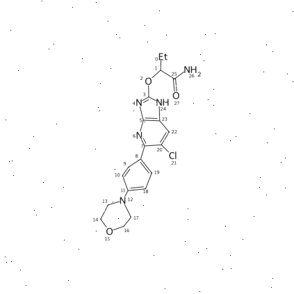 CCC(Oc1nc2nc(-c3ccc(N4CCOCC4)cc3)c(Cl)cc2[nH]1)C(N)=O